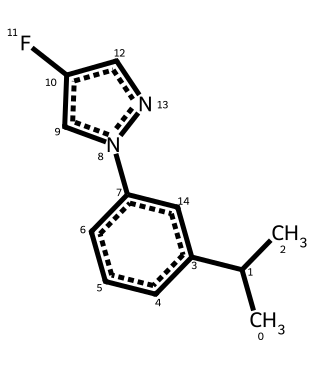 CC(C)c1cccc(-n2cc(F)cn2)c1